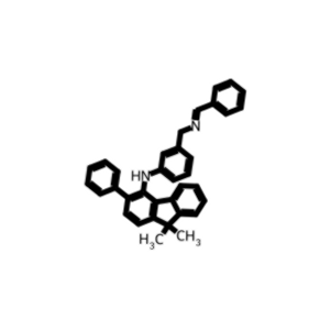 CC1(C)c2ccccc2-c2c1ccc(-c1ccccc1)c2Nc1cccc(C/N=C/c2ccccc2)c1